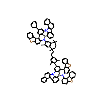 Cc1cc2c(cc1N1B3c4c(cc(-c5ccccc5)cc4-n4c5c3cccc5c3ccc5ccccc5c34)-c3c1ccc1sc4ccccc4c31)C(C)(C)CCC2(C)CCc1cc(C)c(-c2cc3c4c(c2)-n2c5ccc6ccccc6c5c5cccc(c52)B4N(c2cccc4sc5ccccc5c24)c2ccc4sc5ccccc5c4c2-3)c(C)c1